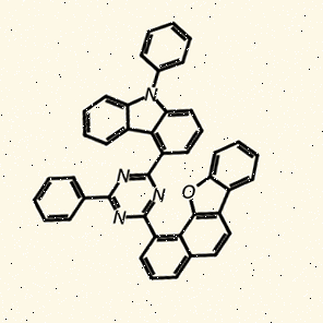 c1ccc(-c2nc(-c3cccc4ccc5c6ccccc6oc5c34)nc(-c3cccc4c3c3ccccc3n4-c3ccccc3)n2)cc1